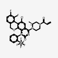 C=CC(=O)N1CCN(c2nc(=O)n(-c3ccccc3S(F)(F)(F)(F)F)c3c4c(c(Cl)cc23)-c2c(ccc(F)c2F)CO4)[C@@H](C)C1